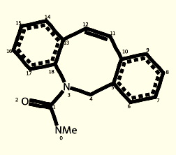 CNC(=O)N1Cc2ccccc2/C=C\c2ccccc21